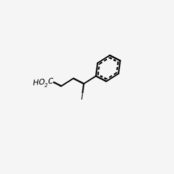 O=C(O)CCC(I)c1ccccc1